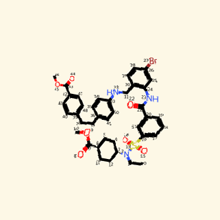 CCN([C@H]1CC[C@H](C(=O)OC)CC1)S(=O)(=O)c1cccc(C(=O)Nc2cc(Br)ccc2CNc2ccc(CCc3ccc(C(=O)OC)cc3)cc2)c1